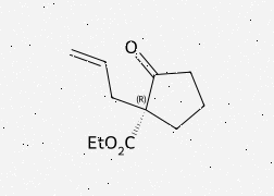 C=CC[C@]1(C(=O)OCC)CCCC1=O